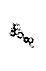 NC(=O)c1sc2nccc(N3CCCN(c4ccc5c(c4)OCC/C5=N\O)CC3)c2c1N